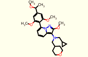 COc1cc(C(C)OC)cc(OC)c1-c1cccc2c(N(CC3CCOCC3)CC3CC3)c(OC)nn12